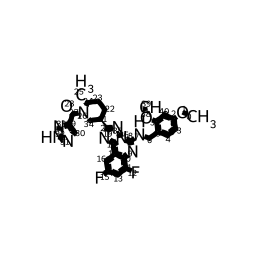 COc1ccc(CNc2nc3c(F)cc(F)cc3c3nc([C@@H]4CC[C@H](C)N(C(=O)c5cn[nH]n5)C4)nn23)c(OC)c1